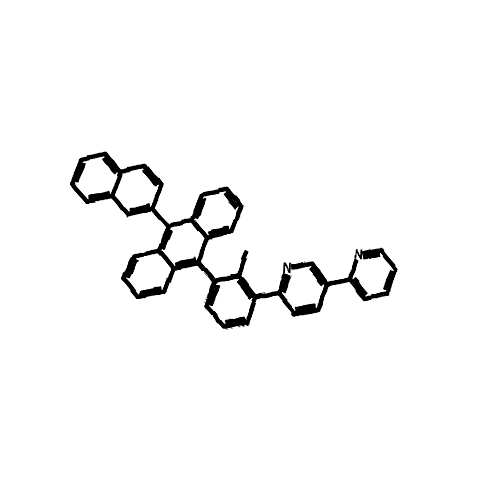 Cc1c(-c2ccc(-c3ccccn3)cn2)cccc1-c1c2ccccc2c(-c2ccc3ccccc3c2)c2ccccc12